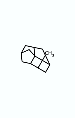 CC12C3CC1C1CC4CC(C3)C12C4